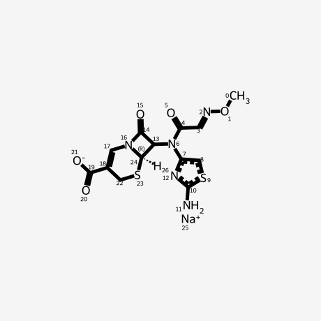 CON=CC(=O)N(c1csc(N)n1)C1C(=O)N2C=C(C(=O)[O-])CS[C@H]12.[Na+]